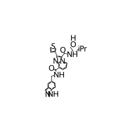 CC(C)C[C@@H](CO)NC(=O)c1c(-c2ccsc2)nc2c(C(=O)NCc3ccc4[nH]ncc4c3)cccn12